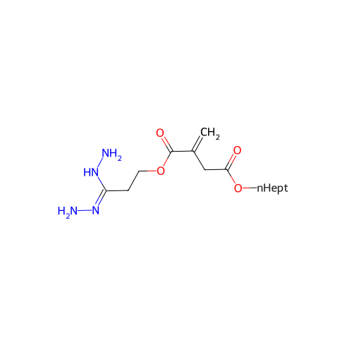 C=C(CC(=O)OCCCCCCC)C(=O)OCC/C(=N/N)NN